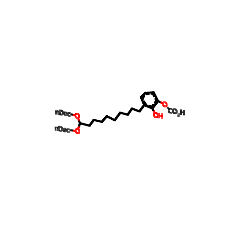 CCCCCCCCCCOC(CCCCCCCCCc1cccc(OC(=O)O)c1O)OCCCCCCCCCC